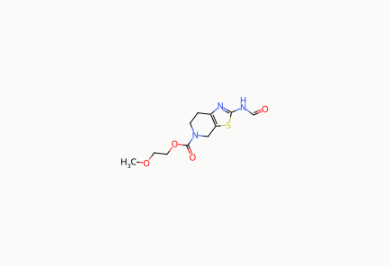 COCCOC(=O)N1CCc2nc(NC=O)sc2C1